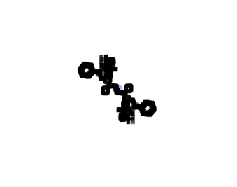 CS(=O)(=O)N[C@@H](COC(=O)/C=C/C(=O)OC[C@H](NS(C)(=O)=O)c1ccccc1)c1ccccc1